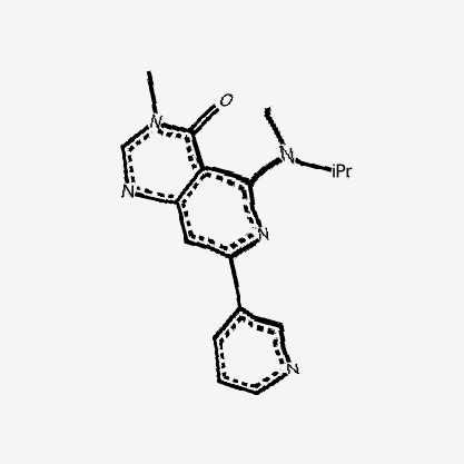 CC(C)N(C)c1nc(-c2cccnc2)cc2ncn(C)c(=O)c12